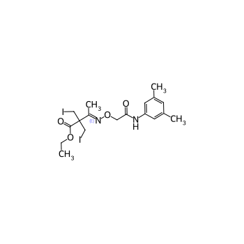 CCOC(=O)C(CI)(CI)/C(C)=N/OCC(=O)Nc1cc(C)cc(C)c1